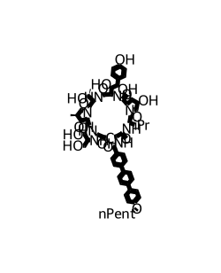 CCCCCOc1ccc(-c2ccc(-c3ccc(C(=O)NC4C[C@@H](O)C(NC(CO)CO)NC(=O)C5[C@@H](O)[C@@H](C)CN5C(=O)C([C@@H](C)O)NC(=O)C([C@H](O)[C@@H](O)c5ccc(O)cc5)NC(=O)C5C[C@@H](O)CN5C(=O)C(C(C)C)NC4=O)cc3)cc2)cc1